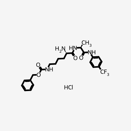 C[C@H](NC(=O)[C@@H](N)CCCCNC(=O)OCc1ccccc1)C(=O)Nc1ccc(C(F)(F)F)cc1.Cl